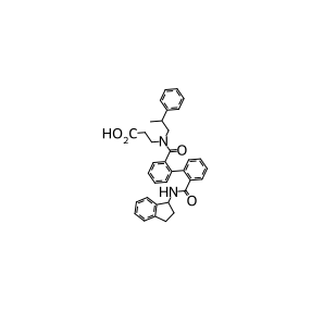 CC(CN(CCC(=O)O)C(=O)c1ccccc1-c1ccccc1C(=O)NC1CCc2ccccc21)c1ccccc1